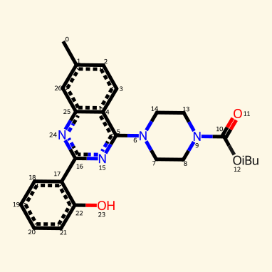 Cc1ccc2c(N3CCN(C(=O)OCC(C)C)CC3)nc(-c3ccccc3O)nc2c1